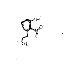 CCCc1cccc(O)c1[N+](=O)[O-]